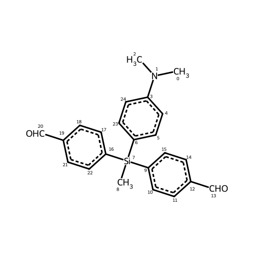 CN(C)c1ccc([Si](C)(c2ccc(C=O)cc2)c2ccc(C=O)cc2)cc1